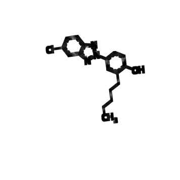 CCCCCc1cc(-n2nc3ccc(Cl)cc3n2)ccc1O